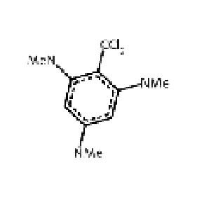 CNc1cc(NC)c(C(Cl)(Cl)Cl)c(NC)c1